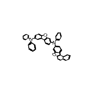 c1ccc(N(c2ccc3c(c2)oc2ccc(N(c4ccccc4)c4ccccc4)cc23)c2ccc3c(c2)oc2ccc4ccccc4c23)cc1